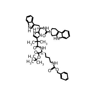 CC(C)(C)OC(=O)[C@@H](CCCCNC(=O)OCc1ccccc1)NC(=O)C(C)(C)c1c[nH]c([C@@H](Cc2c[nH]c3ccccc23)NC(=O)N2CCc3c([nH]c4ccccc34)C2)n1